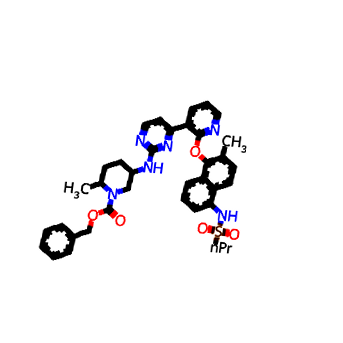 CCCS(=O)(=O)Nc1cccc2c(Oc3ncccc3-c3ccnc(NC4CCC(C)N(C(=O)OCc5ccccc5)C4)n3)c(C)ccc12